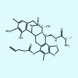 C=CCOC(=O)Oc1c(C)c2c(c3c1CC1C4c5c(cc(C)c(OC)c5O)C[C@H]([C@H](C#N)N1[C@H]3CNC(=O)[C@H](C)N)N4C)OCO2